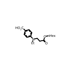 CCCCCCOC(=O)CCN(CC)c1ccc(C(=O)O)cc1